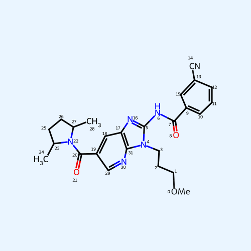 COCCCn1c(NC(=O)c2cccc(C#N)c2)nc2cc(C(=O)N3C(C)CCC3C)cnc21